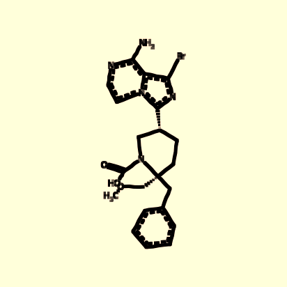 COC[C@@]1(Cc2ccccc2)CC[C@@H](c2nc(Br)c3c(N)nccn23)CN1C(=O)O